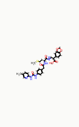 CSCC[C@H](NC(=O)Cc1ccc(NC(=O)Nc2ccc(C)cn2)cc1)C(=O)NCC(C(=O)O)c1ccc2c(c1)OCO2